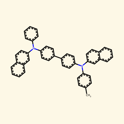 Cc1ccc(N(c2ccc(-c3ccc(N(c4ccccc4)c4ccc5ccccc5c4)cc3)cc2)c2ccc3ccccc3c2)cc1